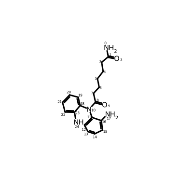 NC(=O)CCCCCC(=O)N(c1ccccc1N)c1ccccc1N